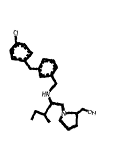 CCC(C)C(CN1CCCC1CO)NCc1cccc(Cc2ccc(Cl)cc2)c1